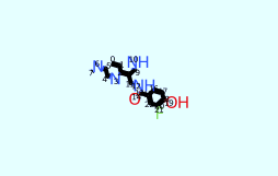 C=CC(/N=C\C=N/C)=C(\C=N)CNC(=O)c1ccc(O)c(F)c1